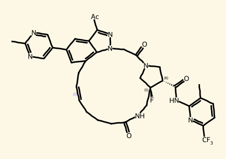 CC(=O)c1nn2c3c(cc(-c4cnc(C)nc4)cc13)C/C=C\CCCC(=O)NC[C@]1(F)CN(C[C@@H]1C(=O)Nc1nc(C(F)(F)F)ccc1C)C(=O)C2